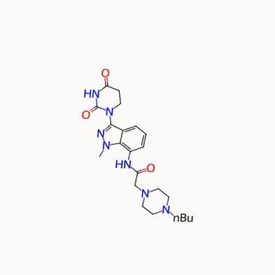 CCCCN1CCN(CC(=O)Nc2cccc3c(N4CCC(=O)NC4=O)nn(C)c23)CC1